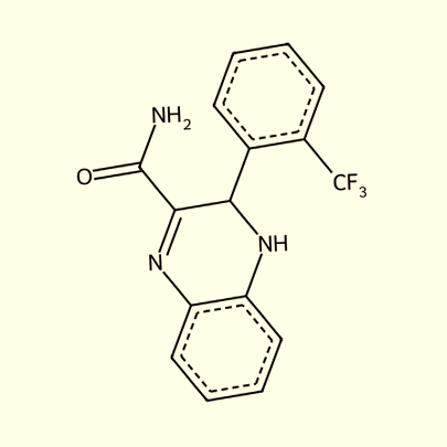 NC(=O)C1=Nc2ccccc2NC1c1ccccc1C(F)(F)F